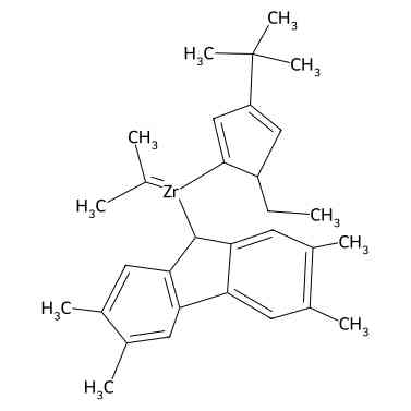 CCC1C=C(C(C)(C)C)C=[C]1[Zr](=[C](C)C)[CH]1c2cc(C)c(C)cc2-c2cc(C)c(C)cc21